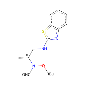 C[C@H](CNc1nc2ccccc2s1)N(C=O)OC(C)(C)C